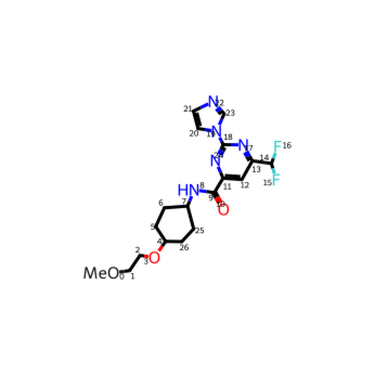 COCCOC1CCC(NC(=O)c2cc(C(F)F)nc(-n3ccnc3)n2)CC1